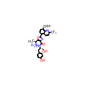 COc1ccc(-c2nc(C(=O)N[C@H](CO)Cc3ccc(O)cc3)c([C@H](C)N)o2)c2ccc(C(F)(F)F)nc12